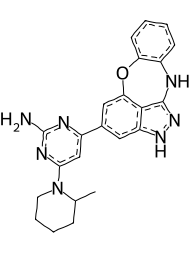 CC1CCCCN1c1cc(-c2cc3c4c(n[nH]c4c2)Nc2ccccc2O3)nc(N)n1